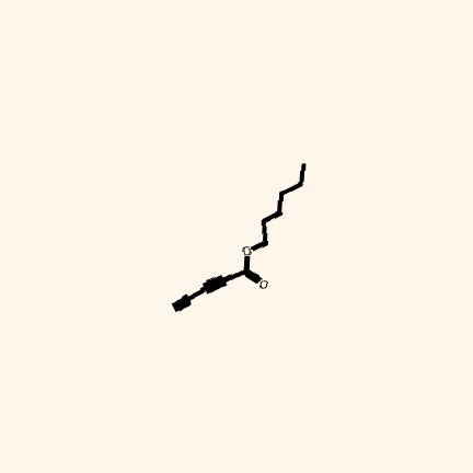 C#CC#CC(=O)OCCCCCC